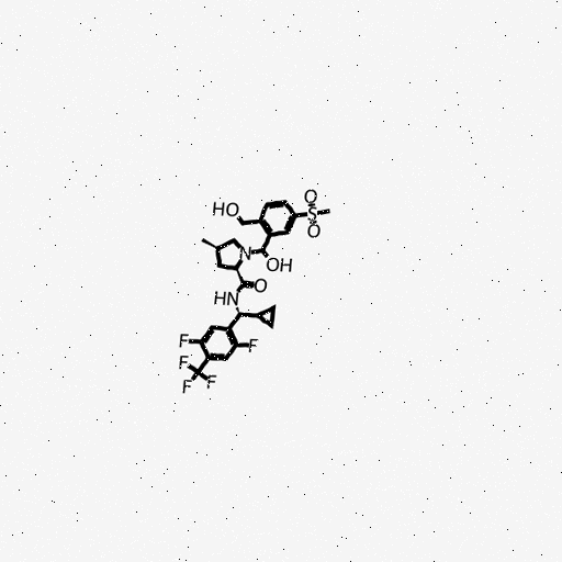 C[C@@H]1C[C@H](C(=O)N[C@@H](c2cc(F)c(C(F)(F)F)cc2F)C2CC2)N(C(O)c2cc(S(C)(=O)=O)ccc2CO)C1